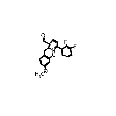 COc1ccc(Cc2nc(-c3cccc(F)c3F)ccc2C=O)c(Cl)c1